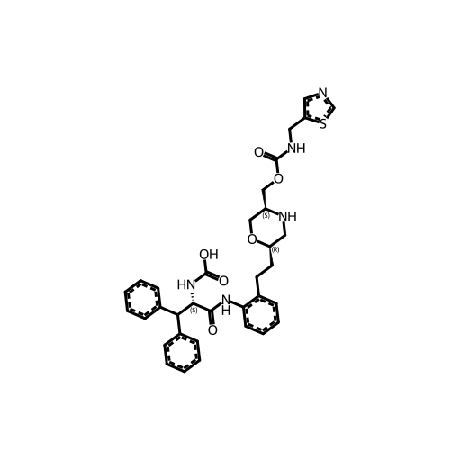 O=C(O)N[C@H](C(=O)Nc1ccccc1CC[C@@H]1CN[C@H](COC(=O)NCc2cncs2)CO1)C(c1ccccc1)c1ccccc1